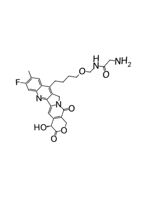 Cc1cc2c(CCCCOCNC(=O)CN)c3c(nc2cc1F)-c1cc2c(c(=O)n1C3)COC(=O)[C@H]2O